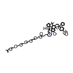 C=C(C)COCCOCCOCCOCCOCCOCCOC(=O)CCC1CCCN(c2cc3c4c(c5c(c3cc2OC)OC(c2ccccc2)(c2ccc(N3CCOCC3)cc2)C=C5)C(C)(C)c2ccccc2-4)/C1=C\C(=O)O